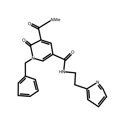 CNC(=O)c1cc(C(=O)NCCc2ccccn2)cn(Cc2ccccc2)c1=O